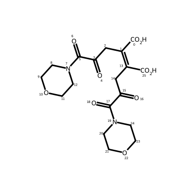 O=C(O)C(CC(=O)C(=O)N1CCOCC1)=C(CC(=O)C(=O)N1CCOCC1)C(=O)O